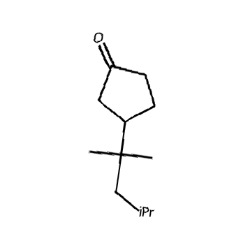 CC(C)CC(C)(C)C1CCC(=O)C1